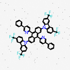 FC(F)(F)c1ccc2c(c1)c1cc(C(F)(F)F)ccc1n2-c1ccc2c(-c3ccc(-c4ccccc4)cn3)c3cc(-n4c5ccc(C(F)(F)F)cc5c5cc(C(F)(F)F)ccc54)ccc3c(-c3ccc(-c4ccccc4)cn3)c2c1